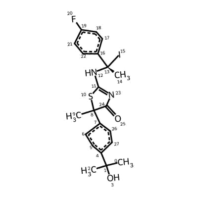 CC(C)(O)c1ccc(C2(C)SC(N[C@@](C)(I)c3ccc(F)cc3)=NC2=O)cc1